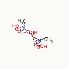 CCCCn1cc(C(=O)O)c(=O)c2ccc(OCC(O)COc3ccc4c(=O)c(C(=O)O)cn(CCCC)c4c3)cc21